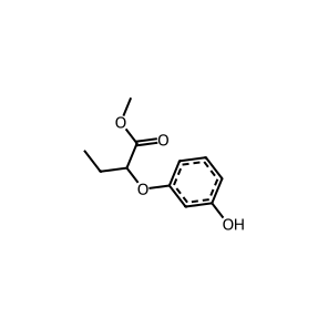 CCC(Oc1cccc(O)c1)C(=O)OC